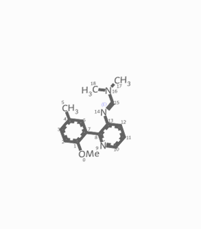 COc1ccc(C)cc1-c1ncccc1/N=C/N(C)C